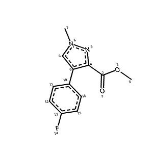 COC(=O)c1nn(C)cc1-c1ccc(F)cc1